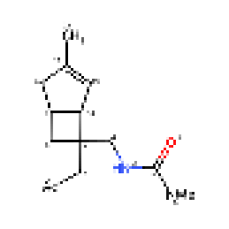 CNC(=O)NCC1(CC(C)=O)CC2CC(C)=CC21